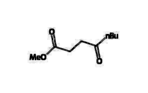 CCCCC(=O)CCC(=O)OC